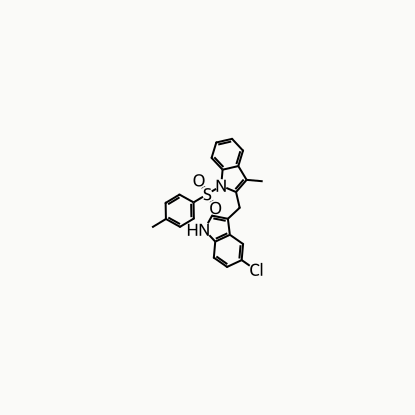 Cc1ccc(S(=O)(=O)n2c(Cc3c[nH]c4ccc(Cl)cc34)c(C)c3ccccc32)cc1